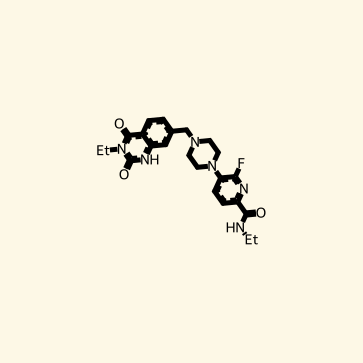 CCNC(=O)c1ccc(N2CCN(Cc3ccc4c(=O)n(CC)c(=O)[nH]c4c3)CC2)c(F)n1